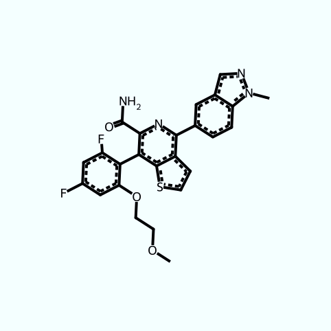 COCCOc1cc(F)cc(F)c1-c1c(C(N)=O)nc(-c2ccc3c(cnn3C)c2)c2ccsc12